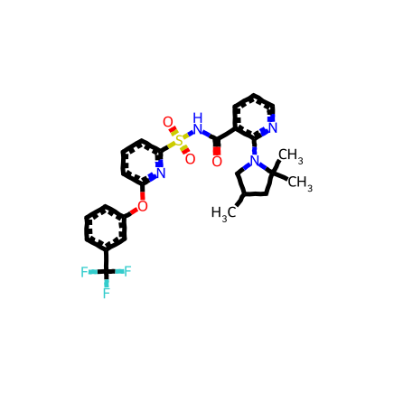 CC1CN(c2ncccc2C(=O)NS(=O)(=O)c2cccc(Oc3cccc(C(F)(F)F)c3)n2)C(C)(C)C1